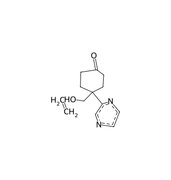 C=C.O=C1CCC(CO)(c2cnccn2)CC1